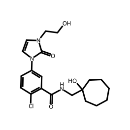 O=C(NCC1(O)CCCCCC1)c1cc(-n2ccn(CCO)c2=O)ccc1Cl